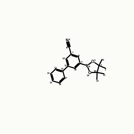 CC1(C)OB(c2cc(C#N)cc(-c3ccccc3)c2)OC1(C)C